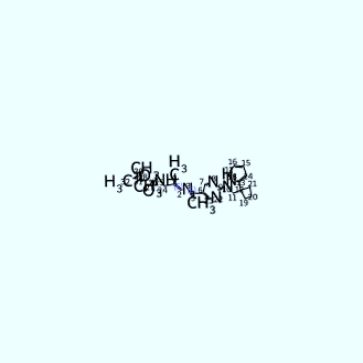 C/C(=C\N=C(/C)c1cnc(NCC2(c3ccccn3)CCC2)nc1)CNC(=O)OC(C)(C)C